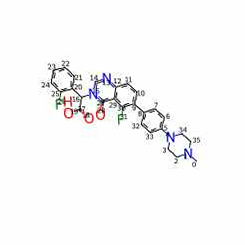 CN1CCN(c2ccc(-c3ccc4ncn(C(C(=O)O)c5ccccc5F)c(=O)c4c3F)cc2)CC1